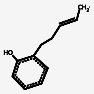 [CH2]/C=C/CCc1ccccc1O